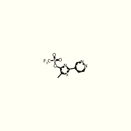 Cc1sc(-c2ccnnc2)nc1OS(=O)(=O)C(F)(F)F